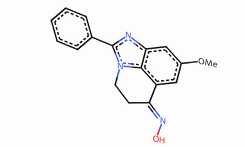 COc1cc2c3c(c1)nc(-c1ccccc1)n3CCC2=NO